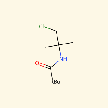 CC(C)(CCl)NC(=O)C(C)(C)C